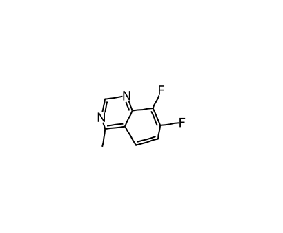 Cc1ncnc2c(F)c(F)ccc12